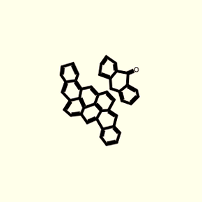 O=C1c2ccccc2Cc2ccccc21.c1ccc2c(c1)cc1ccc3cc4c5ccccc5cc5ccc6cc2c1c3c6c54